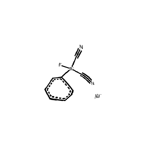 N#C[B-](F)(C#N)c1ccccc1.[Na+]